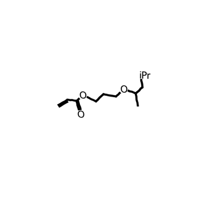 C=CC(=O)OCCCOC(C)CC(C)C